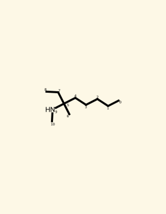 CCCCCC(C)(CC)NC